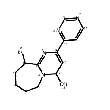 CCC1CCCCN2C1=NC(c1ccncn1)=CC2O